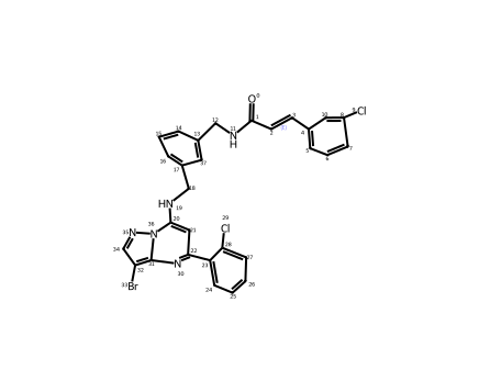 O=C(/C=C/c1cccc(Cl)c1)NCc1cccc(CNc2cc(-c3ccccc3Cl)nc3c(Br)cnn23)c1